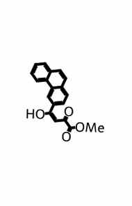 COC(=O)C(=O)/C=C(/O)c1ccc2ccc3ccccc3c2c1